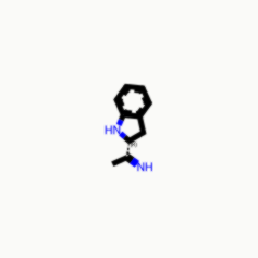 CC(=N)[C@H]1Cc2ccccc2N1